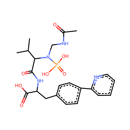 CC(=O)NCN(C(C(=O)NC(Cc1ccc(-c2ccccn2)cc1)C(=O)O)C(C)C)P(=O)(O)O